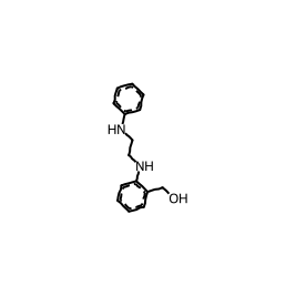 OCc1ccccc1NCCNc1ccccc1